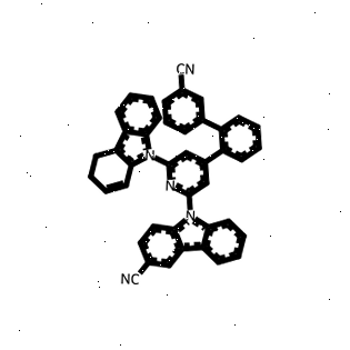 N#Cc1cccc(-c2ccccc2-c2cc(-n3c4c(c5ccccc53)CCC=C4)nc(-n3c4ccccc4c4cc(C#N)ccc43)c2)c1